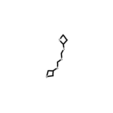 C(SCSC1CCS1)SC1CSC1